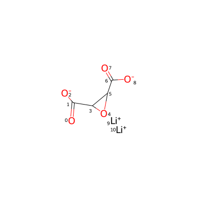 O=C([O-])C1OC1C(=O)[O-].[Li+].[Li+]